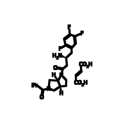 CC(C)C(=O)N1C[C@@H]2CCN(C(=O)C[C@H](N)Cc3cc(F)c(F)cc3F)[C@@H]2C1.O=C(O)C=CC(=O)O